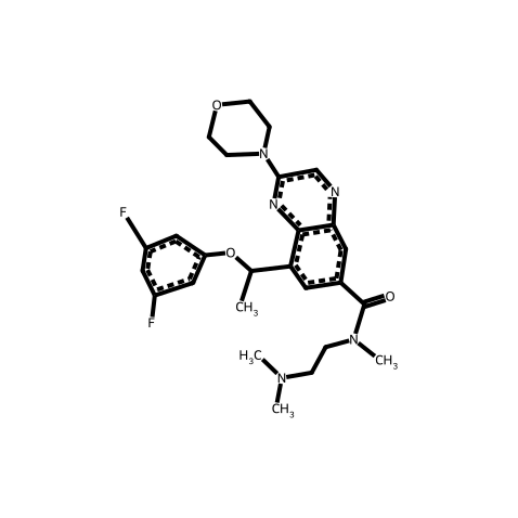 CC(Oc1cc(F)cc(F)c1)c1cc(C(=O)N(C)CCN(C)C)cc2ncc(N3CCOCC3)nc12